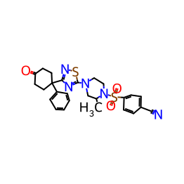 CC1CN(c2nc(C3(c4ccccc4)CCC(=O)CC3)ns2)CCN1S(=O)(=O)c1ccc(C#N)cc1